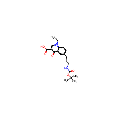 CCn1cc(C(=O)O)c(=O)c2cc(CCCNC(=O)OC(C)(C)C)ccc21